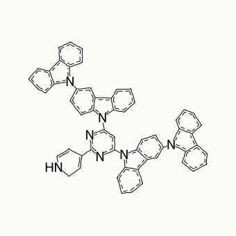 C1=CC(c2nc(-n3c4ccccc4c4cc(-n5c6ccccc6c6ccccc65)ccc43)cc(-n3c4ccccc4c4cc(-n5c6ccccc6c6ccccc65)ccc43)n2)=CCN1